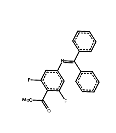 COC(=O)c1c(F)cc(N=C(c2ccccc2)c2ccccc2)cc1F